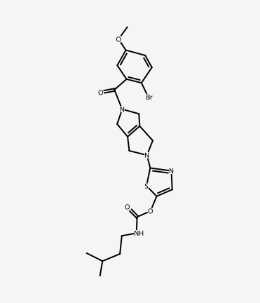 COc1ccc(Br)c(C(=O)N2CC3=C(C2)CN(c2ncc(OC(=O)NCCC(C)C)s2)C3)c1